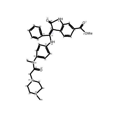 COC(=O)c1ccc2c(c1)NC(=O)/C2=C(/Nc1ccc(N(C)C(=O)CN2CCN(C)CC2)cc1)c1ccccc1